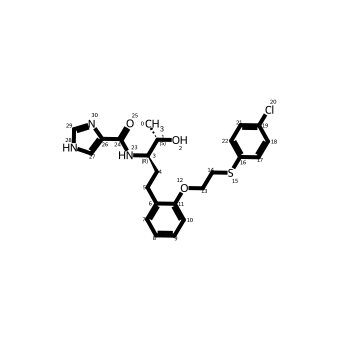 C[C@H](O)[C@@H](CCc1ccccc1OCCSc1ccc(Cl)cc1)NC(=O)c1c[nH]cn1